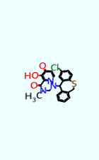 CN1CN(C2c3ccccc3CSc3ccc(Cl)cc32)n2ccc(=O)c(O)c2C1=O